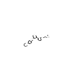 CCN(CC)CCCNc1cccc(-c2c[nH]c(=O)c(NC(=O)c3ccc(N4CCCCC4)cc3)c2)n1